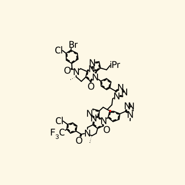 CC(C)Cc1cnn2c3c(c(=O)n(-c4ccc(-c5nncn5CCC(C)Cc5cnn6c7c(c(=O)n(-c8ccc(-c9nncn9C)cc8)c56)C[C@H](C)N(C(=O)c5ccc(Cl)c(C(F)(F)F)c5)C7)cc4)c12)C[C@H](C)N(C(=O)c1ccc(Br)c(Cl)c1)C3